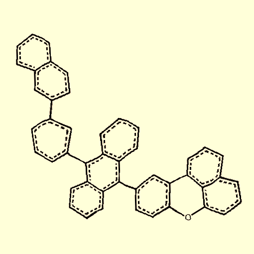 c1cc(-c2ccc3ccccc3c2)cc(-c2c3ccccc3c(-c3ccc4c(c3)-c3cccc5cccc(c35)O4)c3ccccc23)c1